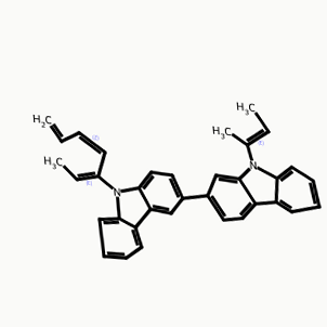 C=C/C=C\C(=C/C)n1c2ccccc2c2cc(-c3ccc4c5ccccc5n(/C(C)=C/C)c4c3)ccc21